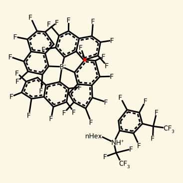 CCCCCC[NH+](c1cc(F)c(F)c(C(F)(F)C(F)(F)F)c1F)C(F)(F)C(F)(F)F.Fc1cc2c([B-](c3c(F)c(F)c(F)c4c(F)c(F)c(F)cc34)(c3c(F)c(F)c(F)c4c(F)c(F)c(F)cc34)c3c(F)c(F)c(F)c4c(F)c(F)c(F)cc34)c(F)c(F)c(F)c2c(F)c1F